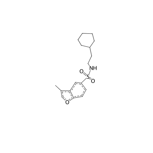 Cc1coc2ccc(S(=O)(=O)NCCC3CCCCC3)cc12